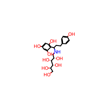 OC[C@@H](O)[C@@H](O)[C@H](O)[C@@H](O)CNC(CCc1ccc(O)cc1)c1c(O)cc(O)cc1O